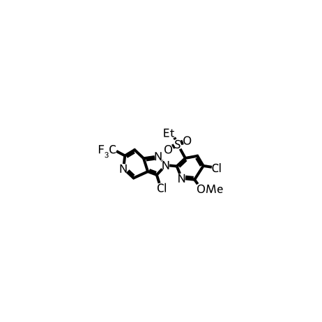 CCS(=O)(=O)c1cc(Cl)c(OC)nc1-n1nc2cc(C(F)(F)F)ncc2c1Cl